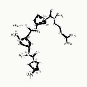 CN(CCN=C(N)N)C(=O)n1ccc(NC(=O)c2cc(N(C)C(=O)n3ccc([N+](=O)[O-])c3)cn2C)c1.Cl